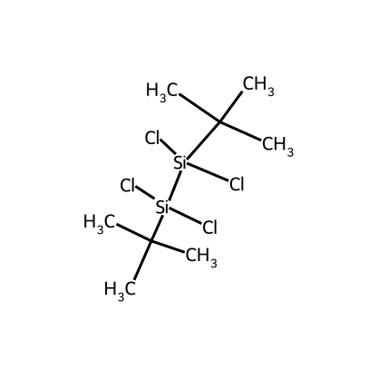 CC(C)(C)[Si](Cl)(Cl)[Si](Cl)(Cl)C(C)(C)C